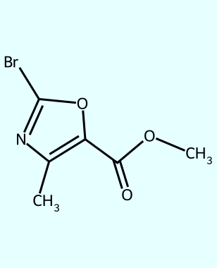 COC(=O)c1oc(Br)nc1C